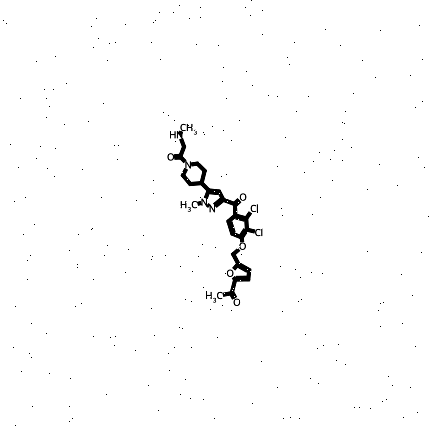 CNCC(=O)N1CCC(c2cc(C(=O)c3ccc(OCc4ccc(C(C)=O)o4)c(Cl)c3Cl)nn2C)CC1